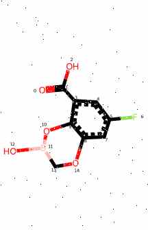 O=C(O)c1cc(F)cc2c1OB(O)CO2